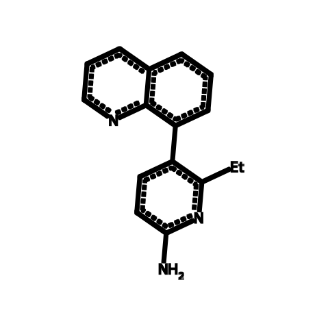 CCc1nc(N)ccc1-c1cccc2cccnc12